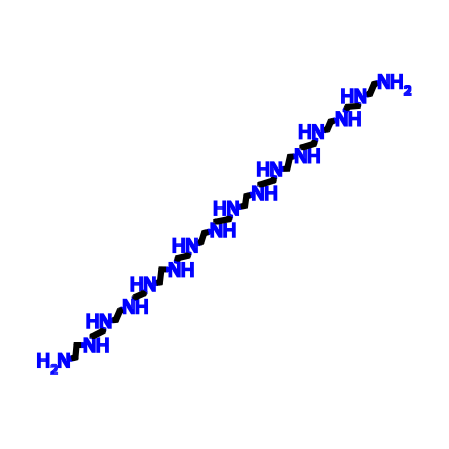 NCCNCCNCCNCCNCCNCCNCCNCCNCCNCCNCCNCCNCCNCCNCCN